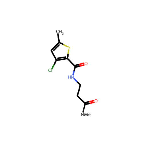 CNC(=O)CCNC(=O)c1sc(C)cc1Cl